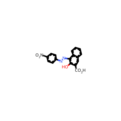 O=C(O)c1cc2ccccc2c(N=Nc2ccc([N+](=O)[O-])cc2)c1O